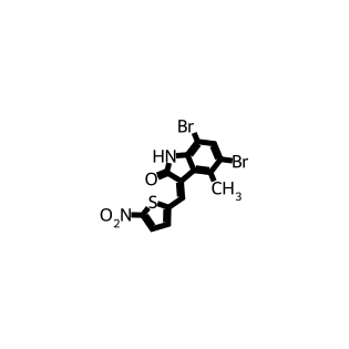 Cc1c(Br)cc(Br)c2c1C(=Cc1ccc([N+](=O)[O-])s1)C(=O)N2